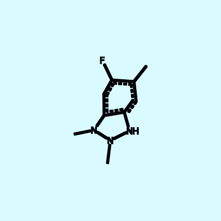 Cc1cc2c(cc1F)N(C)N(C)N2